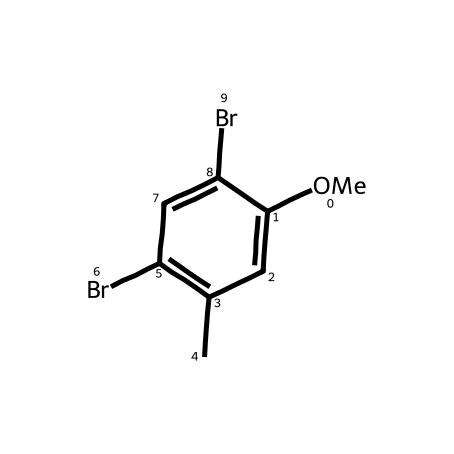 COc1cc(C)c(Br)cc1Br